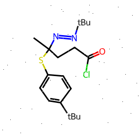 CC(C)(C)N=NC(C)(CCC(=O)Cl)Sc1ccc(C(C)(C)C)cc1